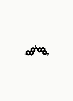 O=C(c1ccc2c(ccc3cc(F)ccc32)c1)c1ccc2c(ccc3cc(F)ccc32)c1